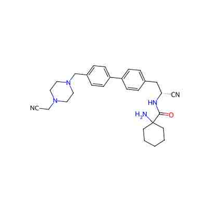 N#CCN1CCN(Cc2ccc(-c3ccc(C[C@H](C#N)NC(=O)C4(N)CCCCC4)cc3)cc2)CC1